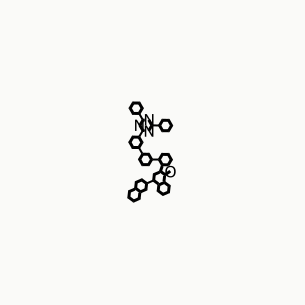 c1ccc(-c2nc(-c3ccccc3)nc(-c3cccc(-c4cccc(-c5cccc6oc7c8ccccc8c(-c8ccc9ccccc9c8)cc7c56)c4)c3)n2)cc1